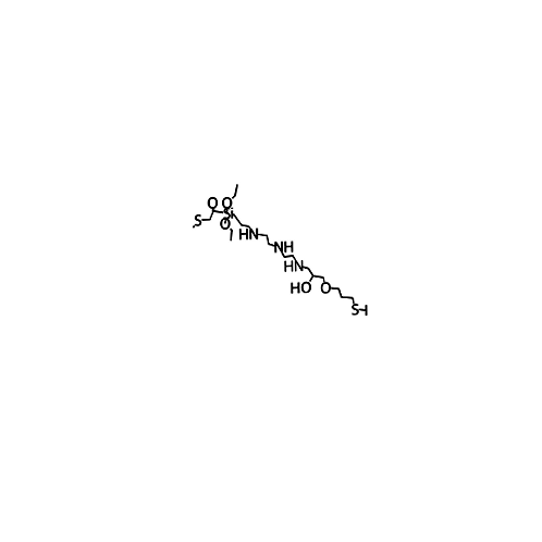 CCO[Si](CCCNCCNCCNCC(O)COCCCSI)(OCC)C(=O)CSC